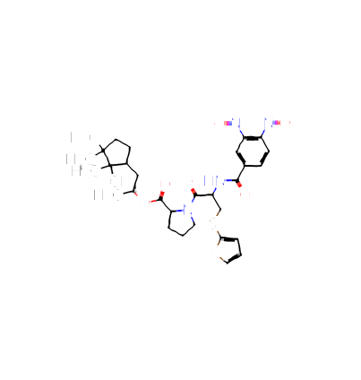 CC(CC1CCC(C)(C)C1(C)C)OC(=O)C1CCCN1C(=O)C(CSc1cccs1)NC(=O)c1ccc(N=O)c(N=O)c1